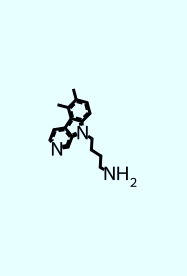 Cc1ccc2c(c1C)c1ccncc1n2CCCCN